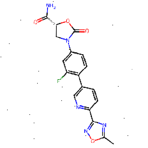 Cc1nc(-c2ccc(-c3ccc(N4C[C@H](C(N)=O)OC4=O)cc3F)cn2)no1